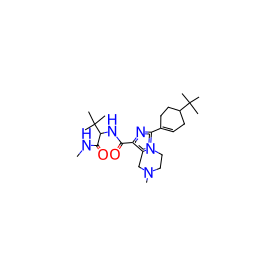 CNC(=O)C(NC(=O)c1nc(C2=CCC(C(C)(C)C)CC2)n2c1CN(C)CC2)C(C)(C)C